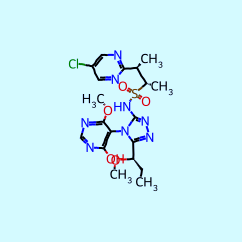 CC[C@@H](OC)c1nnc(NS(=O)(=O)[C@@H](C)[C@H](C)c2ncc(Cl)cn2)n1-c1c(O)ncnc1OC